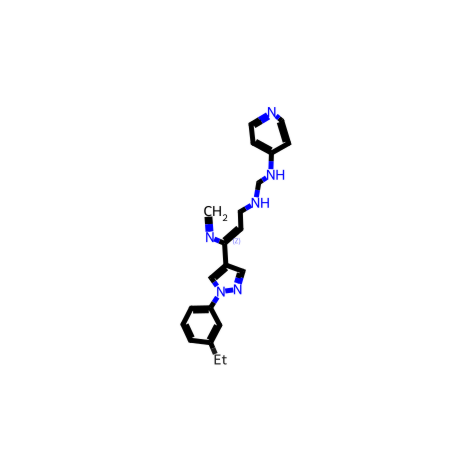 C=N/C(=C\CNCNc1ccncc1)c1cnn(-c2cccc(CC)c2)c1